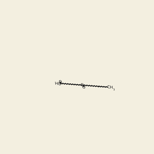 CCCCCCCCC=CCCCCCCCCCCCC(=O)OCCCCCCCCCCCCCCCCCC(=O)O